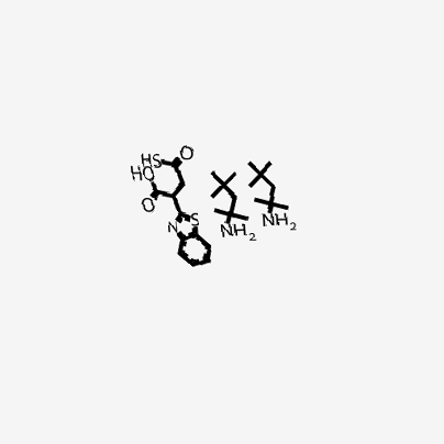 CC(C)(C)CC(C)(C)N.CC(C)(C)CC(C)(C)N.O=C(S)CC(C(=O)O)c1nc2ccccc2s1